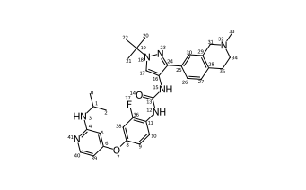 CC(C)Nc1cc(Oc2ccc(NC(=O)Nc3cn(C(C)(C)C)nc3-c3ccc4c(c3)CN(C)CC4)c(F)c2)ccn1